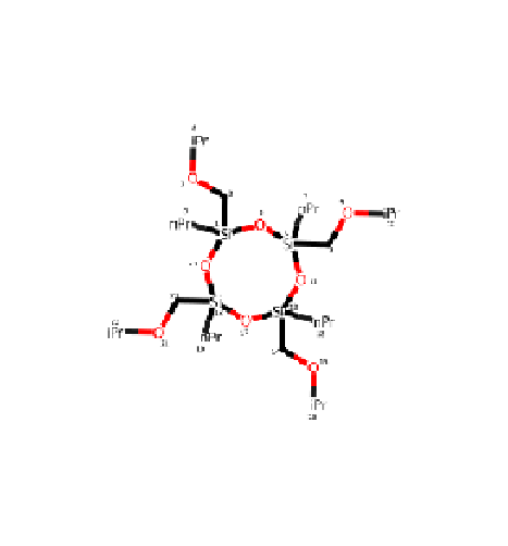 CCC[Si]1(COC(C)C)O[Si](CCC)(COC(C)C)O[Si](CCC)(COC(C)C)O[Si](CCC)(COC(C)C)O1